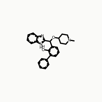 CN1CCC(OC(c2nc3ccccc3[nH]2)c2cccc(-c3ccccc3)c2O)CC1